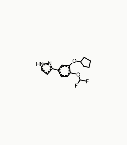 FC(F)Oc1ccc(-c2cc[nH]n2)cc1OC1CCCC1